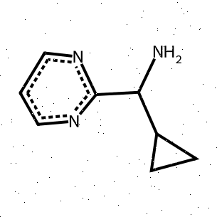 NC(c1ncccn1)C1CC1